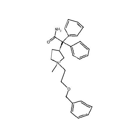 C[N+]1(CCOCc2ccccc2)CC[C@@H](C(C(N)=O)(c2ccccc2)c2ccccc2)C1